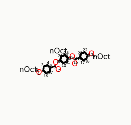 CCCCCCCCOc1ccc(C(=O)Oc2ccc(OC(=O)c3ccc(OCCCCCCCC)cc3)c(CCCCCCCC)c2)cc1